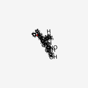 CC(C)c1ccccc1[C@@H]1CCC[C@@H]1N1CC2(CCN(c3ccc(C(=O)NS(=O)(=O)c4cc(N=O)c5c(c4)OC[C@H]([C@H]4CC[C@](C)(O)CC4)N5)c(Oc4cc5c(F)c[nH]c5nc4Cl)c3)CC2)C1